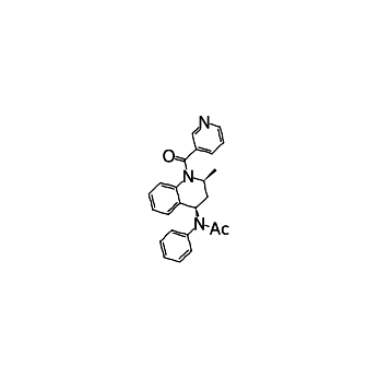 CC(=O)N(c1ccccc1)[C@@H]1C[C@H](C)N(C(=O)c2cccnc2)c2ccccc21